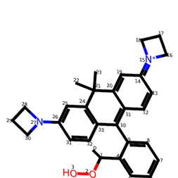 CC(OO)c1ccccc1C1=C2C=CC(=[N+]3CCC3)C=C2C(C)(C)c2cc(N3CCC3)ccc21